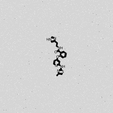 Cc1csc(Nc2cc(Oc3ccccc3C(=O)NCCc3c[nH]cn3)ccn2)n1